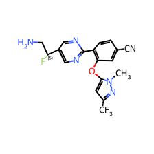 Cn1nc(C(F)(F)F)cc1Oc1cc(C#N)ccc1-c1ncc([C@H](F)CN)cn1